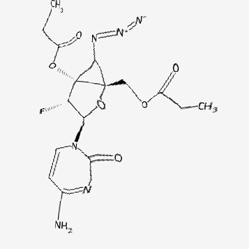 CCC(=O)OC[C@@]12O[C@@H](n3ccc(N)nc3=O)[C@H](F)[C@@]1(OC(=O)CC)C2N=[N+]=[N-]